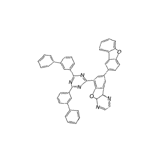 C1=NC2Oc3c(-c4nc(-c5cccc(-c6ccccc6)c5)nc(-c5cccc(-c6ccccc6)c5)n4)cc(-c4ccc5oc6ccccc6c5c4)cc3C2N=C1